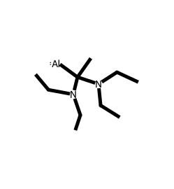 CCN(CC)[C](C)([Al])N(CC)CC